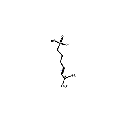 N[C@H](/C=C/CCCP(=O)(O)O)C(=O)O